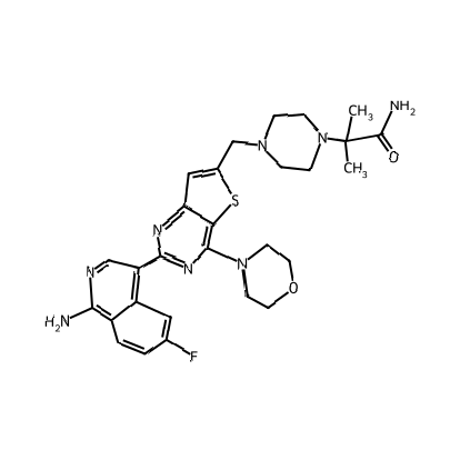 CC(C)(C(N)=O)N1CCN(Cc2cc3nc(-c4cnc(N)c5ccc(F)cc45)nc(N4CCOCC4)c3s2)CC1